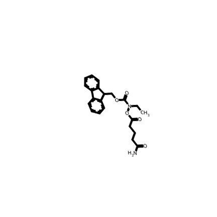 CCN(OC(=O)CCCC(N)=O)C(=O)OCC1c2ccccc2-c2ccccc21